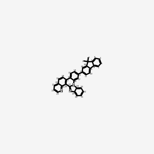 CC1(C)c2ccccc2-c2ccc(-c3ccc4c5ccc6cccnc6c5c5nc6ccccc6n5c4c3)cc21